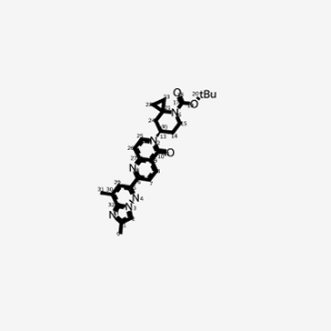 Cc1cn2nc(-c3ccc4c(=O)n([C@@H]5CCN(C(=O)OC(C)(C)C)C6(CC6)C5)ccc4n3)cc(C)c2n1